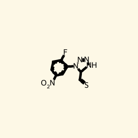 O=[N+]([O-])c1ccc(F)c(N2N=NNC2C=S)c1